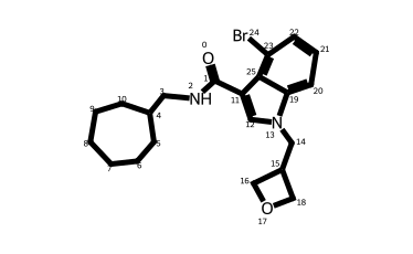 O=C(NCC1CCCCCC1)c1cn(CC2COC2)c2cccc(Br)c12